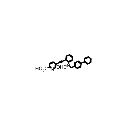 O=CN(Cc1ccc(-c2ccccc2)cc1)c1ccccc1C#Cc1ccc(C(=O)O)nc1